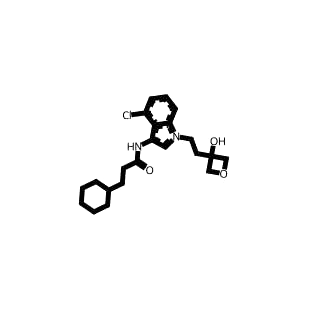 O=C(CCC1CCCCC1)Nc1cn(CCC2(O)COC2)c2cccc(Cl)c12